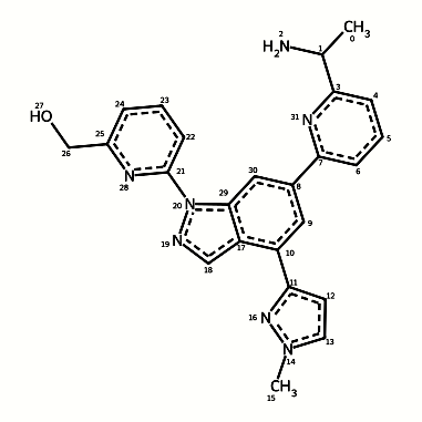 CC(N)c1cccc(-c2cc(-c3ccn(C)n3)c3cnn(-c4cccc(CO)n4)c3c2)n1